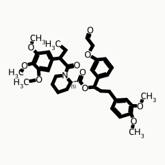 CCC(C(=O)N1CCCC[C@H]1C(=O)OC(CCc1ccc(OC)c(OC)c1)c1cccc(OCC=O)c1)c1cc(OC)c(OC)c(OC)c1